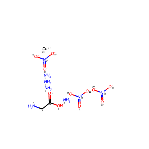 N.N.N.N.NCC(=O)O.O=[N+]([O-])[O-].O=[N+]([O-])[O-].O=[N+]([O-])[O-].[Co+3]